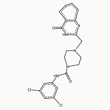 O=C(Nc1cc(Cl)cc(Cl)c1)N1CCN(Cc2nc3ccccc3c(=O)[nH]2)CC1